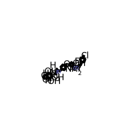 C/C(=N/OCc1ccc(Cl)cc1F)[C@H]1O[C@@H](Oc2ccc(/C=C(\C)C(=O)N[C@@H]3[C@H](O)[C@@H](O)[C@H]4OCO[C@H]4[C@@H]3O)cc2N)C[C@@H]1O